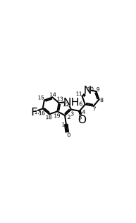 C#Cc1c(C(=O)c2cccnc2)[nH]c2ccc(F)cc12